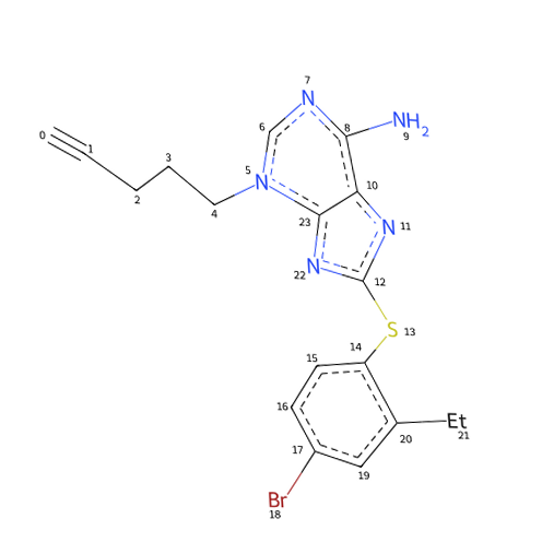 C#CCCCn1cnc(N)c2nc(Sc3ccc(Br)cc3CC)nc1-2